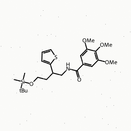 COc1cc(C(=O)NCC(CCO[Si](C)(C)C(C)(C)C)c2cccs2)cc(OC)c1OC